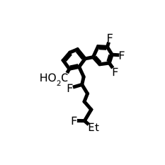 CCC(F)CCCC(F)Cc1c(C(=O)O)cccc1-c1cc(F)c(F)c(F)c1